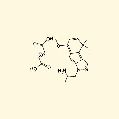 COC1=C2C=c3c(cnn3CC(C)N)=C2C(C)(C)C=C1.O=C(O)/C=C/C(=O)O